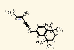 CCC/C(C#C[Se]c1ccc2c(c1)C(C)(C)CCC2(C)C)=C\C(=O)O